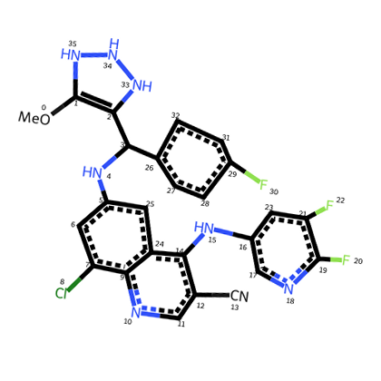 COC1=C(C(Nc2cc(Cl)c3ncc(C#N)c(Nc4cnc(F)c(F)c4)c3c2)c2ccc(F)cc2)NNN1